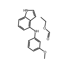 CCOC=O.COc1cccc(Nc2cccc3[nH]ccc23)c1